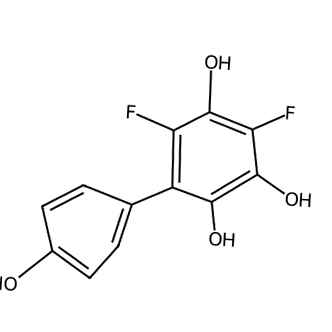 Oc1ccc(-c2c(O)c(O)c(F)c(O)c2F)cc1